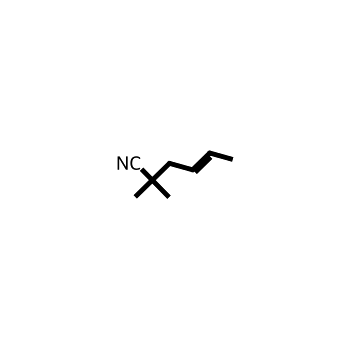 CC=CCC(C)(C)C#N